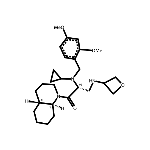 COc1ccc(CN(C2CC2)[C@H](CNC2COC2)C(=O)N2CCC[C@H]3CCCC[C@@H]32)c(OC)c1